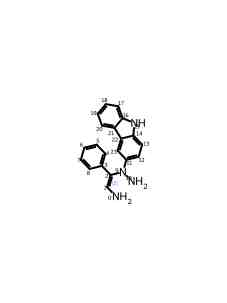 N/C=C(/c1ccccc1)N(N)c1ccc2[nH]c3ccccc3c2c1